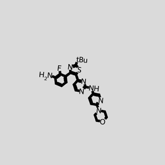 CC(C)(C)c1nc(-c2cccc(N)c2F)c(-c2ccnc(Nc3ccc(N4CCOCC4)nc3)n2)s1